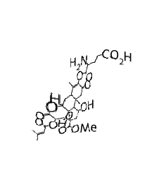 COC(=O)[C@@]12C[C@H](O)C3[C@@]4(C)CC(=O)C(OC(=O)[C@@H](N)CCC(=O)O)=C(C)C4C[C@H]4OC(=O)[C@H](OC(=O)C=C(C)C)[C@@H]1[C@@]34CO2